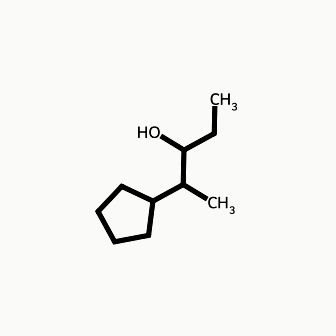 CCC(O)C(C)C1CCCC1